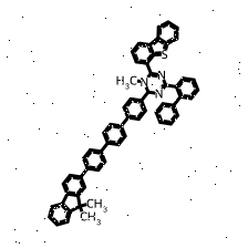 CN1C(c2cccc3c2sc2ccccc23)=NC(c2ccccc2-c2ccccc2)=NC1c1ccc(-c2ccc(-c3ccc(-c4ccc5c(c4)C(C)(C)c4ccccc4-5)cc3)cc2)cc1